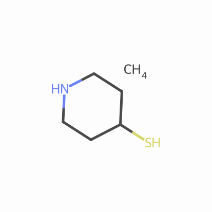 C.SC1CCNCC1